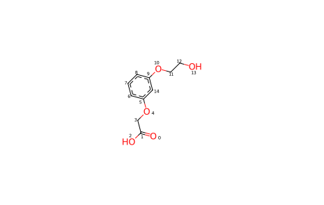 O=C(O)COc1cccc(OCCO)c1